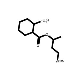 CCCCCCCCCCCCC(C)OC(=O)C1CCCCC1C(=O)O